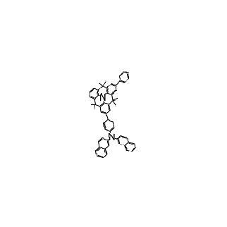 CC1(C)c2cccc3c2N2c4c1cc(-c1ccccc1)cc4C(C)(C)c1cc(C4C=CC(N(c5ccc6ccccc6c5)c5ccc6ccccc6c5)=CC4)cc(c12)C3(C)C